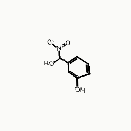 O=[N+]([O-])C(O)c1cccc(O)c1